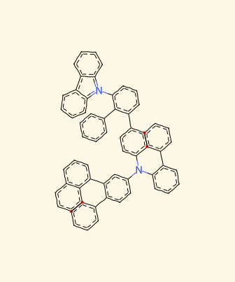 c1ccc(-c2ccc(N(c3ccc(-c4cccc(-n5c6ccccc6c6ccccc65)c4-c4ccccc4)cc3)c3ccccc3-c3ccccc3)cc2-c2cccc3ccccc23)cc1